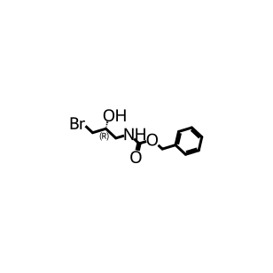 O=C(NC[C@@H](O)CBr)OCc1ccccc1